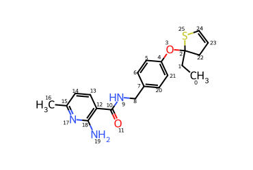 CCC1(Oc2ccc(CNC(=O)c3ccc(C)nc3N)cc2)CC=CS1